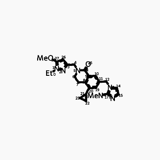 CCn1nc(CN2CCc3c(cc(Cn4ccnc4NC)cc3C3CC3)C2=O)cc1OC